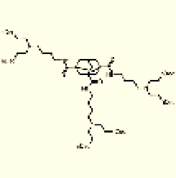 CCCCCCCCCCCCN(CCCCCCCCCCCC)CCCCNC(=O)C12CC3CC(C(=O)NCCCCN(CCCCCCCCCCCC)CCCCCCCCCCCC)(C1)CC(C(=O)NCCCCN(CCCCCCCCCCCC)CCCCCCCCCCCC)(C3)C2